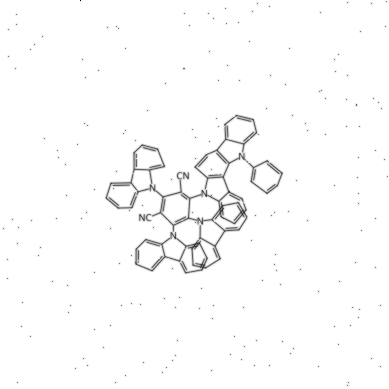 N#Cc1c(-n2c3ccccc3c3ccccc32)c(C#N)c(-n2c3ccccc3c3c2ccc2c4ccccc4n(-c4ccccc4)c23)c(-n2c3ccccc3c3ccccc32)c1-n1c2ccccc2c2ccccc21